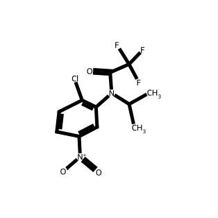 CC(C)N(C(=O)C(F)(F)F)c1cc([N+](=O)[O-])ccc1Cl